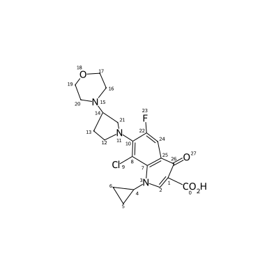 O=C(O)c1cn(C2CC2)c2c(Cl)c(N3CCC(N4CCOCC4)C3)c(F)cc2c1=O